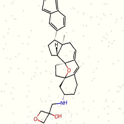 C[C@]12CC=C3C=C4CC[C@H](NCC5(O)COC5)C[C@]45CC[C@]3(O5)[C@@H]1CC[C@@H]2c1ccc2ccccc2c1